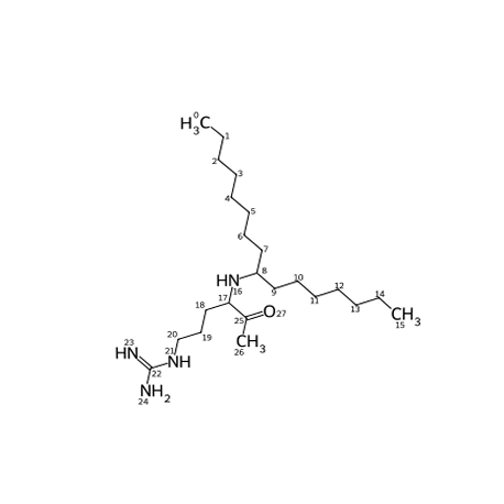 CCCCCCCCC(CCCCCCC)NC(CCCNC(=N)N)C(C)=O